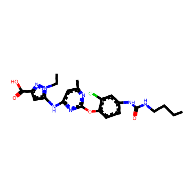 CCCCNC(=O)Nc1ccc(Oc2nc(C)cc(Nc3cc(C(=O)O)nn3CC)n2)c(Cl)c1